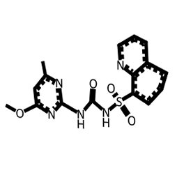 COc1cc(C)nc(NC(=O)NS(=O)(=O)c2cccc3cccnc23)n1